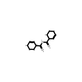 O=C(OC(=O)C1C=CCCC1)C1C=CCCC1